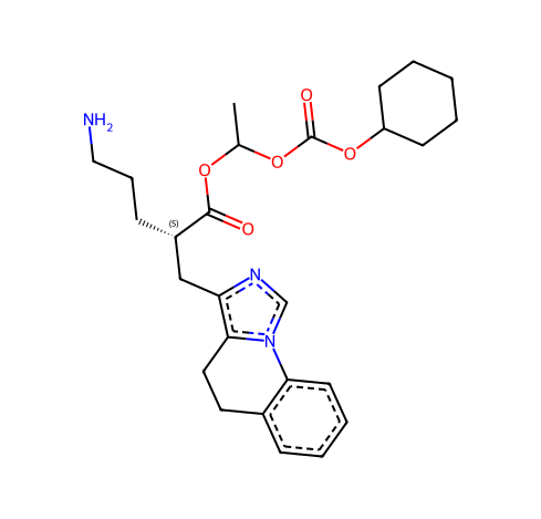 CC(OC(=O)OC1CCCCC1)OC(=O)[C@@H](CCCN)Cc1ncn2c1CCc1ccccc1-2